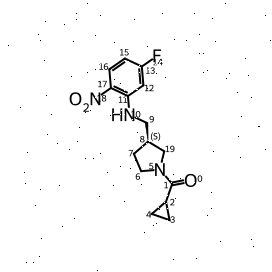 O=C(C1CC1)N1CC[C@@H](CNc2cc(F)ccc2[N+](=O)[O-])C1